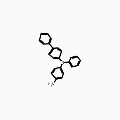 Nc1ccc(N(c2ccccc2)c2ccc(-c3ccccc3)cc2)cc1